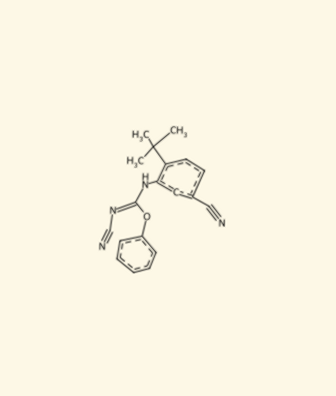 CC(C)(C)c1ccc(C#N)cc1NC(=NC#N)Oc1ccccc1